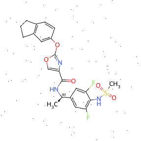 C[C@@H](NC(=O)c1coc(Oc2ccc3c(c2)CCC3)n1)c1cc(F)c(NS(C)(=O)=O)c(F)c1